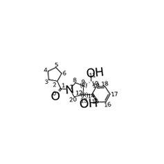 O=C(C1CCCC1)N1C[C@H](CO)[C@@](O)(c2ccccc2)C1